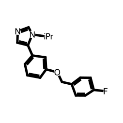 CC(C)n1cncc1-c1cccc(OCc2ccc(F)cc2)c1